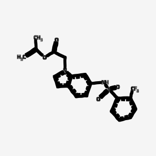 C=C(C)OC(=O)Cn1ccc2ccc(NS(=O)(=O)c3ccccc3C(F)(F)F)cc21